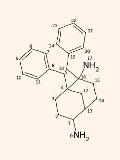 NC1CCC2(Cc3ccccc3)CC1CCC2(N)Cc1ccccc1